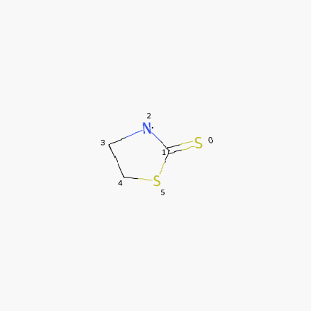 S=C1[N]CCS1